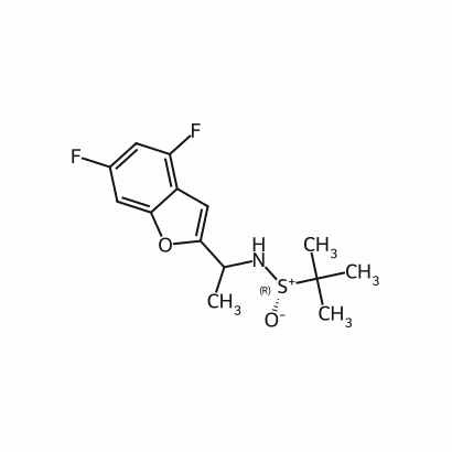 CC(N[S@@+]([O-])C(C)(C)C)c1cc2c(F)cc(F)cc2o1